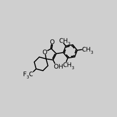 Cc1cc(C)c(C2=C(O)C3(CCC(C(F)(F)F)CC3)OC2=O)c(C)c1